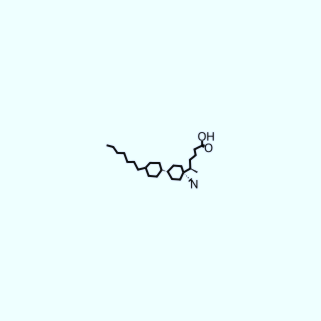 CCCCCCCC1CCC([C@H]2CC[C@](C#N)([C@H](C)CCCC(=O)O)CC2)CC1